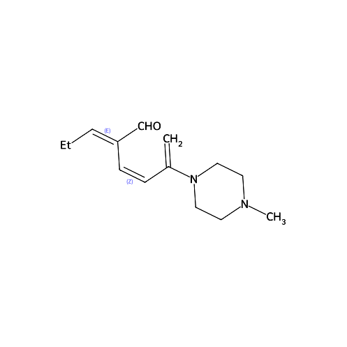 C=C(/C=C\C(C=O)=C/CC)N1CCN(C)CC1